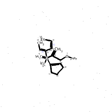 C=C(COCCC)S(=C)(C)(C1=CCCC1)C(/C=C\CC)=C/C